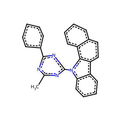 Cc1nc(-c2ccccc2)nc(-n2c3ccccc3c3ccc4ccccc4c32)n1